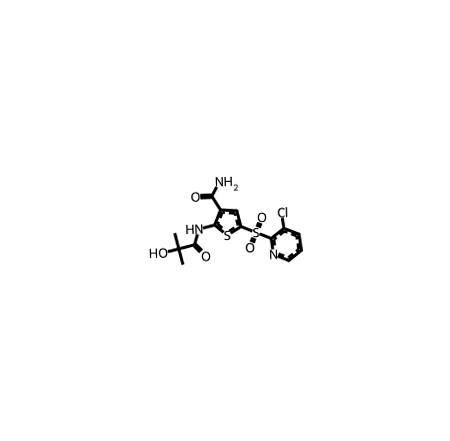 CC(C)(O)C(=O)Nc1sc(S(=O)(=O)c2ncccc2Cl)cc1C(N)=O